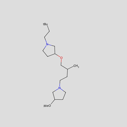 COC1CCN(CCC(C)COC2CCN(CCC(C)(C)C)C2)C1